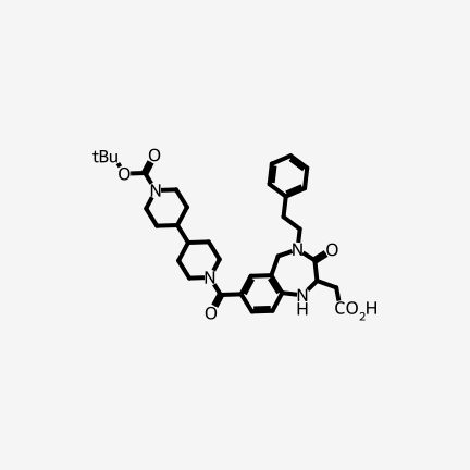 CC(C)(C)OC(=O)N1CCC(C2CCN(C(=O)c3ccc4c(c3)CN(CCc3ccccc3)C(=O)C(CC(=O)O)N4)CC2)CC1